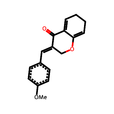 COc1ccc(/C=C2\COC3=CCCC=C3C2=O)cc1